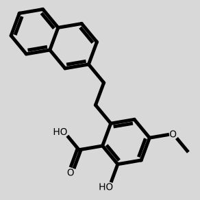 COc1cc(O)c(C(=O)O)c(CCc2ccc3ccccc3c2)c1